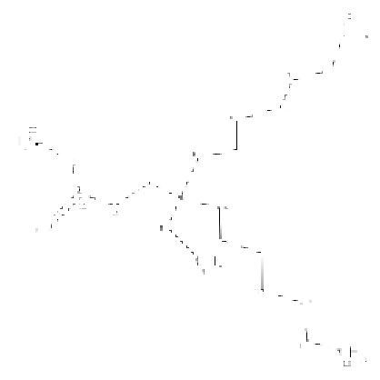 CCCCCCCC(CC)(CCCCCCC)CCC(=O)O[SiH3]